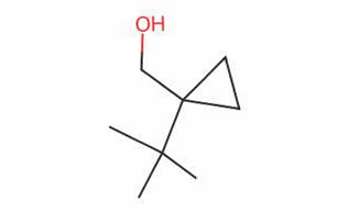 CC(C)(C)C1(CO)CC1